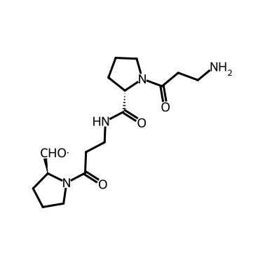 NCCC(=O)N1CCC[C@H]1C(=O)NCCC(=O)N1CCC[C@H]1[C]=O